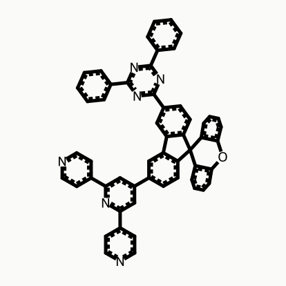 c1ccc(-c2nc(-c3ccccc3)nc(-c3ccc4c(c3)-c3cc(-c5cc(-c6ccncc6)nc(-c6ccncc6)c5)ccc3C43c4ccccc4Oc4ccccc43)n2)cc1